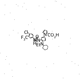 CCN(c1ccc(-n2cccc2C(=O)O)cc1NC(=O)Nc1ccc(Cl)c(C(F)(F)F)c1)C1CCCCC1